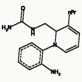 CCCC1=CC=CN(c2ccccc2N)C1CNC(N)=O